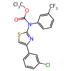 O=C(OC(Cl)(Cl)Cl)N(c1cccc(C(F)(F)F)c1)c1nc(-c2cccc(Cl)c2)cs1